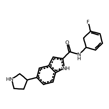 O=C(NC1C=CC=C(F)C1)c1cc2cc(C3CCNC3)ccc2[nH]1